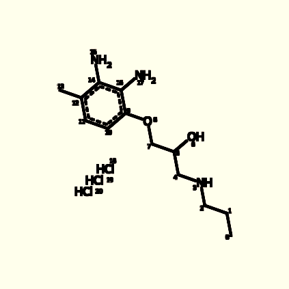 CCCNCC(O)COc1ccc(C)c(N)c1N.Cl.Cl.Cl